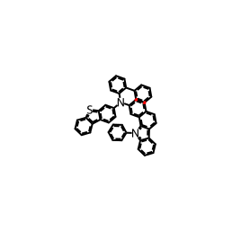 c1ccc(-c2ccccc2N(c2ccc3c(c2)sc2ccccc23)c2ccc3ccc4c5ccccc5n(-c5ccccc5)c4c3c2)cc1